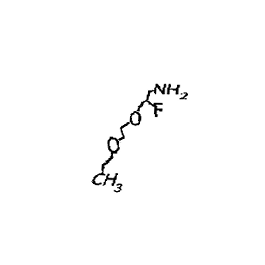 CCCOCCOCC(F)CN